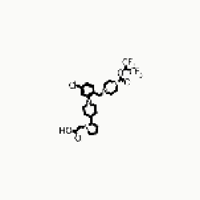 O=C(OC(C(F)(F)F)C(F)(F)F)N1CCN(Cc2ccc(Cl)cc2N2CCC(C3CCCN3CC(O)O)CC2)CC1